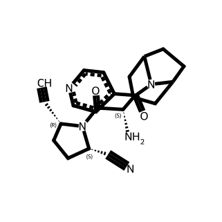 C#C[C@H]1CC[C@@H](C#N)N1C(=O)[C@@H](N)C1CC2CCC(C1)N2C(=O)c1ccncc1